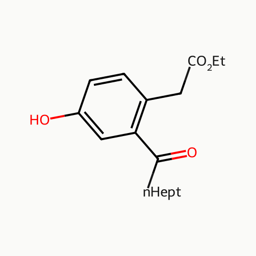 CCCCCCCC(=O)c1cc(O)ccc1CC(=O)OCC